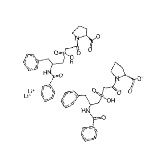 O=C(NC(Cc1ccccc1)CP(=O)(O)CC(=O)N1CCC[C@H]1C(=O)[O-])c1ccccc1.O=C(NC(Cc1ccccc1)CP(=O)(O)CC(=O)N1CCC[C@H]1C(=O)[O-])c1ccccc1.[Li+].[Li+]